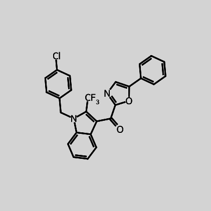 O=C(c1ncc(-c2ccccc2)o1)c1c(C(F)(F)F)n(Cc2ccc(Cl)cc2)c2ccccc12